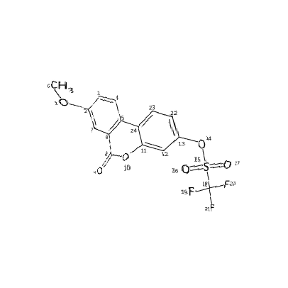 COc1ccc2c(c1)c(=O)oc1cc(OS(=O)(=O)C(F)(F)F)ccc12